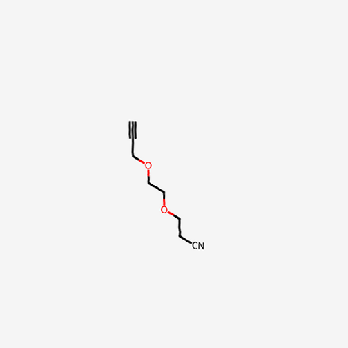 C#CCOCCOCCC#N